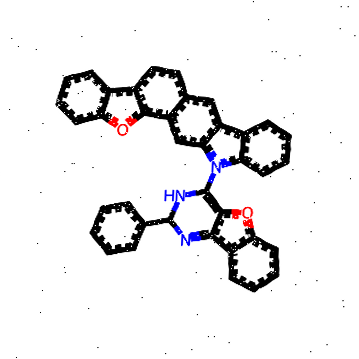 c1ccc(C2N=c3c(oc4ccccc34)=C(n3c4ccccc4c4cc5ccc6c7ccccc7oc6c5cc43)N2)cc1